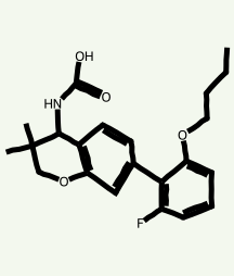 CCCCOc1cccc(F)c1-c1ccc2c(c1)OCC(C)(C)C2NC(=O)O